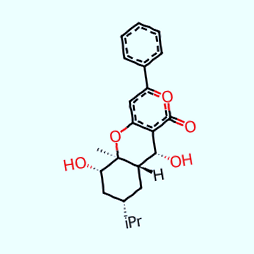 CC(C)[C@@H]1C[C@H](O)[C@@]2(C)Oc3cc(-c4ccccc4)oc(=O)c3[C@H](O)[C@@H]2C1